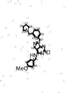 COc1ccc(CNc2nc(Cl)nc3c2cnn3Cc2cccc(CN3CCCC3)c2)cc1